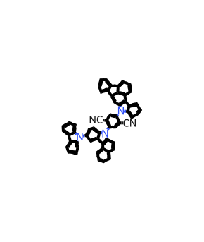 N#Cc1cc(-n2c3ccccc3c3c4cccc5c4c(cc32)-c2ccccc2-5)c(C#N)cc1-n1c2ccc(-n3c4ccccc4c4ccccc43)cc2c2c3ccccc3ccc21